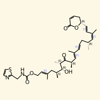 CC(=C/[C@H](C)C/C=C/C(C)=C/[C@@H](C)C(=O)[C@@H](C)[C@H](O)[C@@H](C)C/C(C)=C/COC(=O)NCc1nccs1)/C=C/[C@H]1CC=CC(=O)O1